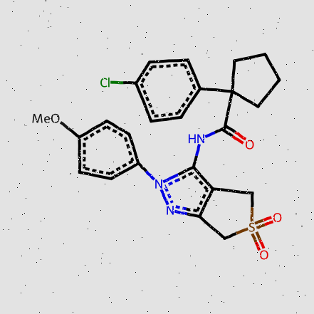 COc1ccc(-n2nc3c(c2NC(=O)C2(c4ccc(Cl)cc4)CCCC2)CS(=O)(=O)C3)cc1